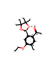 CCOc1cc(B2OC(C)(C)C(C)(C)O2)c(C(C)=O)cc1C